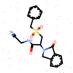 N#CCNC(=O)C(CS(=O)(=O)Cc1ccccc1)N1Cc2ccccc2C1=O